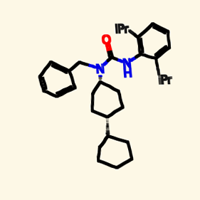 CC(C)c1cccc(C(C)C)c1NC(=O)N(Cc1ccccc1)[C@H]1CC[C@@H](C2CCCCC2)CC1